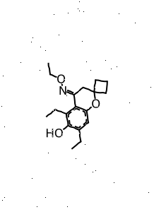 CCON=C1CC2(CCC2)Oc2cc(CC)c(O)c(CC)c21